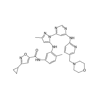 Cc1cc(Nc2cc(NC(=O)c3cc(C4CC4)no3)ccc2C)n(-c2cc(Nc3ccc(CN4CCOCC4)cn3)ncn2)n1